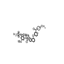 COc1c(NC(=O)c2cc3cccc(Oc4ccnc(C(=O)N5CCN(C)CC5)c4)c3n2C)cc(C(C)(C)C)cc1NS(C)(=O)=O